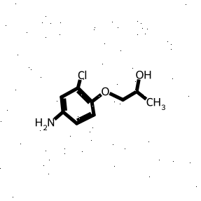 CC(O)COc1ccc(N)cc1Cl